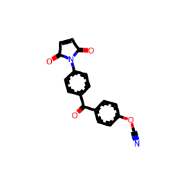 N#COc1ccc(C(=O)c2ccc(N3C(=O)C=CC3=O)cc2)cc1